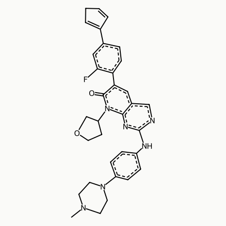 CN1CCN(c2ccc(Nc3ncc4cc(-c5ccc(C6=CCC=C6)cc5F)c(=O)n(C5CCOC5)c4n3)cc2)CC1